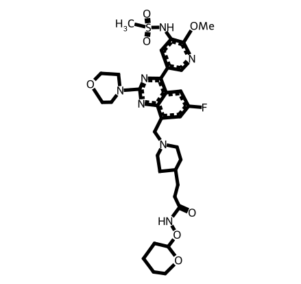 COc1ncc(-c2nc(N3CCOCC3)nc3c(CN4CCC(CCC(=O)NOC5CCCCO5)CC4)cc(F)cc23)cc1NS(C)(=O)=O